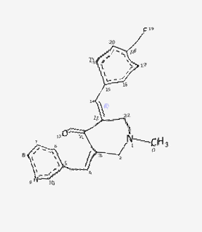 CN1CC(=Cc2cccnc2)C(=O)/C(=C/c2ccc(F)cc2)C1